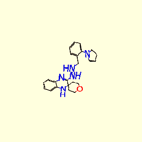 c1ccc(N2CCCC2)c(CNNC2=Nc3ccccc3NC23CCOCC3)c1